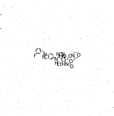 CCc1c(NC(=O)OCC2COCCN2C(=O)O)cn2ncnc(Nc3ccc4c(cnn4Cc4cccc(F)c4)c3)c12